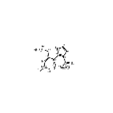 COC(=O)c1ccoc1C(=O)/C(=C\N(C)C)CC(=O)O